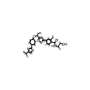 CCC(Oc1ccc(-c2noc(C(C)C)n2)cc1)c1nc(-c2ccc(C(=O)NC(C)CO)c(F)c2)no1